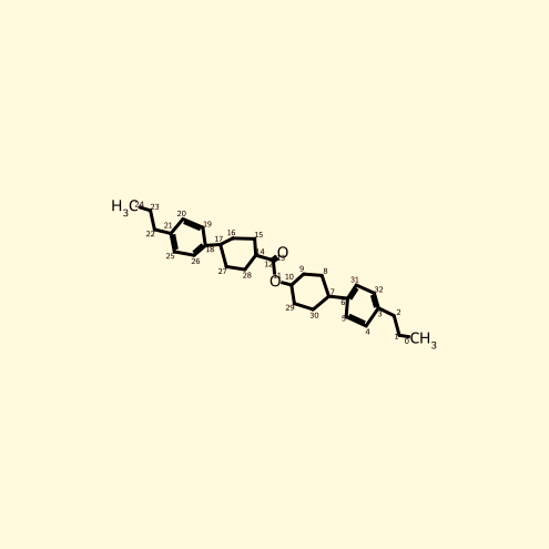 CCCc1ccc(C2CCC(OC(=O)C3CCC(c4ccc(CCC)cc4)CC3)CC2)cc1